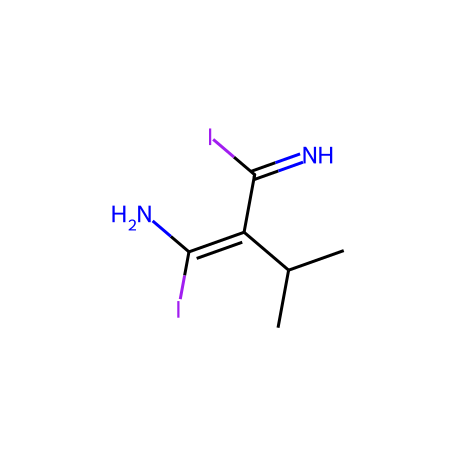 CC(C)/C(C(=N)I)=C(/N)I